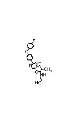 CC(Nc1ccnc(-c2ccc(Oc3ccc(F)cc3)cc2)n1)C(=O)NCCO